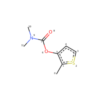 Cc1sccc1OC(=O)N(C)C